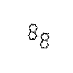 [c]1cc(-c2cc[c]c3ccccc23)c2ccccc2c1